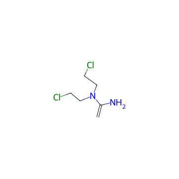 C=C(N)N(CCCl)CCCl